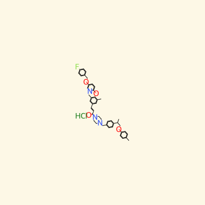 Cc1ccc(OCC(C)c2ccc(CN3CCN(C(=O)C=Cc4cc(C)c(Oc5ccc(OCc6ccc(F)cc6)cn5)c(C)c4)CC3)cc2)cc1.Cl